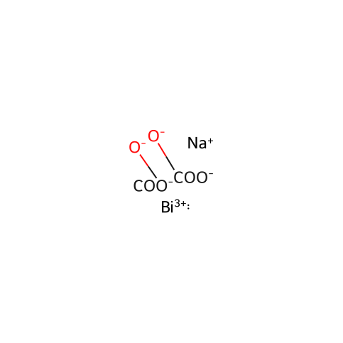 O=C([O-])[O-].O=C([O-])[O-].[Bi+3].[Na+]